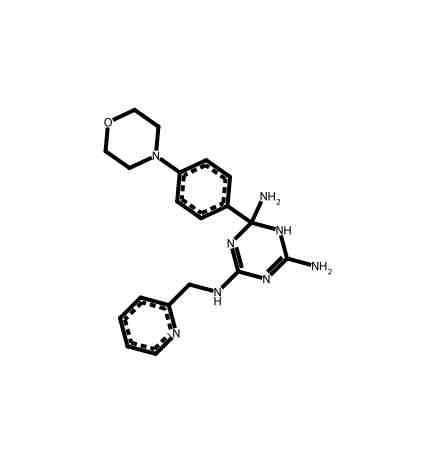 NC1=NC(NCc2ccccn2)=NC(N)(c2ccc(N3CCOCC3)cc2)N1